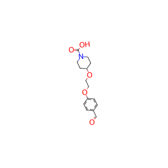 O=Cc1ccc(OCCOC2CCN(C(=O)O)CC2)cc1